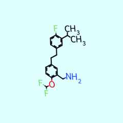 CC(C)c1cc(CCc2ccc(OC(F)F)c(CN)c2)ccc1F